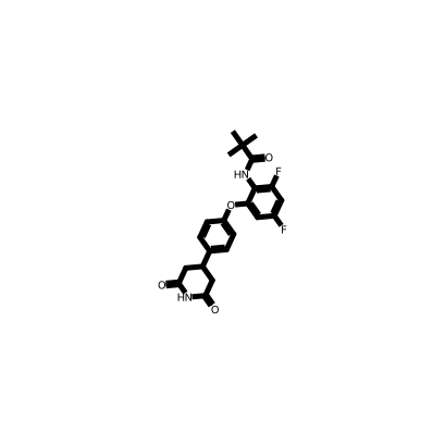 CC(C)(C)C(=O)Nc1c(F)cc(F)cc1Oc1ccc(C2CC(=O)NC(=O)C2)cc1